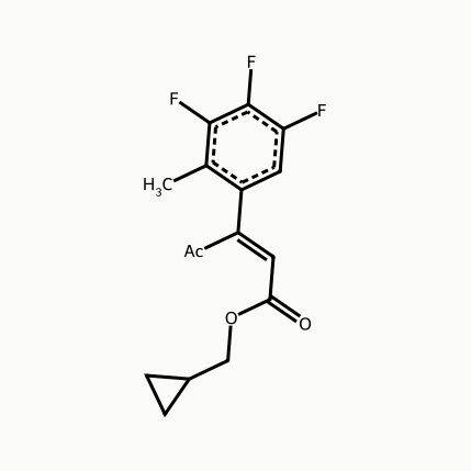 CC(=O)C(=CC(=O)OCC1CC1)c1cc(F)c(F)c(F)c1C